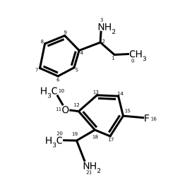 CCC(N)c1ccccc1.COc1ccc(F)cc1C(C)N